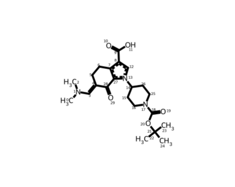 CN(C)C=C1CCc2c(C(=O)O)cn(C3CCN(C(=O)OC(C)(C)C)CC3)c2C1=O